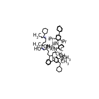 C=C/C(=C\CCC(C)(C)/C(O)=C\C(=C)CCC1c2ccccc2-c2cc(CC3CCCCC3)c([Si](C)(C)C)c[n+]2C1CC(=C)N(C)c1ccccc1Nc1c(C(C)C)cc(-c2ccccc2)cc1C(C)C)C1CCCCC1